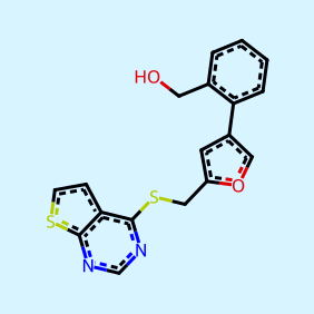 OCc1ccccc1-c1coc(CSc2ncnc3sccc23)c1